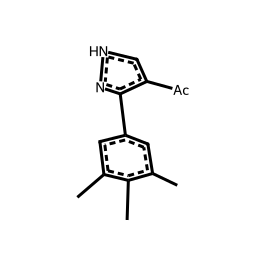 CC(=O)c1c[nH]nc1-c1cc(C)c(C)c(C)c1